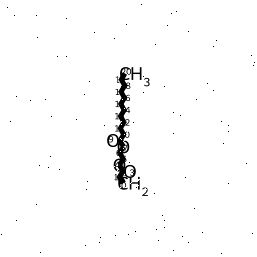 C=CC(=O)OCCOC(=O)CCCCCCCCCCC